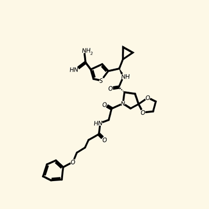 N=C(N)c1csc([C@H](NC(=O)[C@@H]2CC3(CN2C(=O)CNC(=O)CCCOc2ccccc2)OCCO3)C2CC2)c1